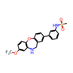 CS(=O)(=O)Nc1cccc(-c2ccc3c(c2)CNc2cc(OC(F)(F)F)ccc2O3)c1